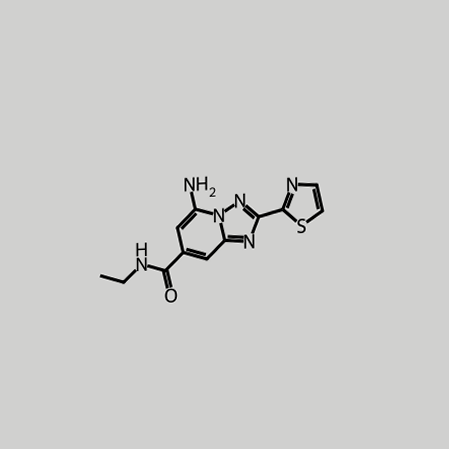 CCNC(=O)c1cc(N)n2nc(-c3nccs3)nc2c1